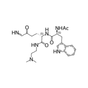 CC(=O)N[C@@H](Cc1c[nH]c2ccccc12)C(=O)N[C@@H](CCC(=O)C=N)C(=O)NCCN(C)C